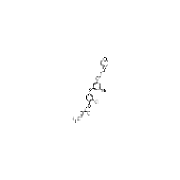 CCOC(=O)COc1ccc(Sc2cc(Br)cc(OCCCN3CCOCC3)c2)cc1Cl